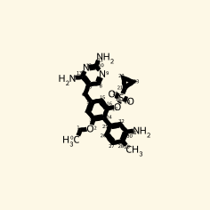 CCOc1cc(Cc2cnc(N)nc2N)cc(OS(=O)(=O)C2CC2)c1-c1ccc(C)c(N)c1